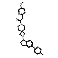 COc1ccc(CC(=O)N2CCC3(CC2)CN(C2CCc4cc(-c5ccc(C)cn5)ccc42)C3)nc1